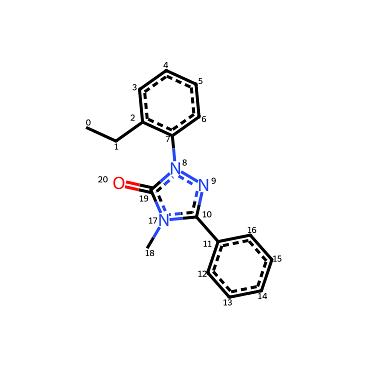 CCc1ccccc1-n1nc(-c2ccccc2)n(C)c1=O